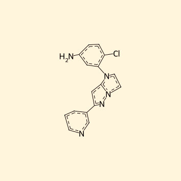 Nc1ccc(Cl)c(-n2ccn3nc(-c4cccnc4)cc23)c1